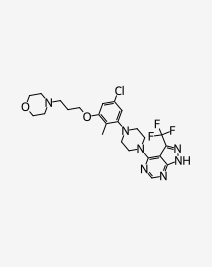 Cc1c(OCCCN2CCOCC2)cc(Cl)cc1N1CCN(c2ncnc3[nH]nc(C(F)(F)F)c23)CC1